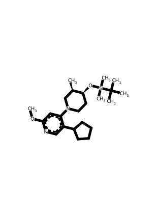 COc1cc(N2CC[C@H](O[Si](C)(C)C(C)(C)C)[C@H](C)C2)c(C2CCCC2)cn1